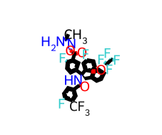 C/C(N)=N/OC(=O)c1cc([C@@](Cc2ccccc2)(NC(=O)c2ccc(F)c(C(F)(F)F)c2)c2cc(F)cc(OC(F)(F)C(F)F)c2)ccc1F